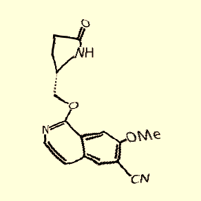 COc1cc2c(OC[C@@H]3CCC(=O)N3)nccc2cc1C#N